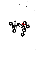 c1ccc(C2=NC(c3ccc(-c4ccc(N(c5ccc(-c6ccccc6)cc5)c5ccccc5-c5ccccc5)s4)s3)NC(c3ccccc3)=N2)cc1